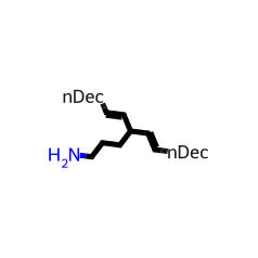 CCCCCCCCCCC=CC(C=CCCCCCCCCCC)CCCN